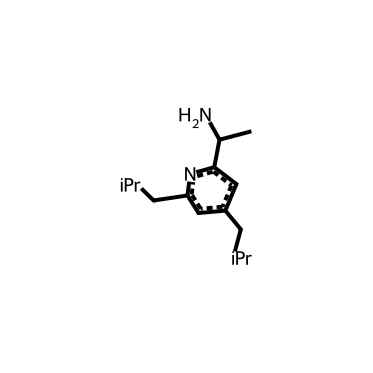 CC(C)Cc1cc(CC(C)C)nc(C(C)N)c1